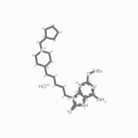 CCCCOc1nc(N)c2[nH]c(=O)n(CCCCCC3CCN(CC4CCCC4)CC3)c2n1.Cl